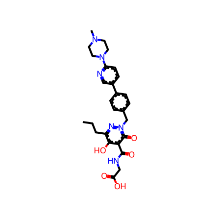 CCCc1nn(Cc2ccc(-c3ccc(N4CCN(C)CC4)nc3)cc2)c(=O)c(C(=O)NCC(=O)O)c1O